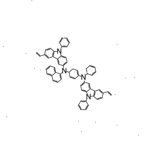 C=Cc1ccc2c(c1)c1cc(N(C3=CCC(N(c4ccc5c(c4)c4cc(C=C)ccc4n5-c4ccccc4)c4cccc5ccccc45)C=C3)C3C=CC=CC3)ccc1n2-c1ccccc1